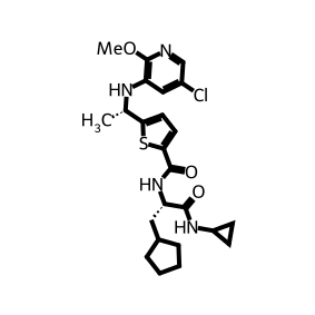 COc1ncc(Cl)cc1N[C@@H](C)c1ccc(C(=O)N[C@@H](CC2CCCC2)C(=O)NC2CC2)s1